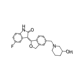 O=C1Nc2ccc(F)cc2C1=C1OCc2cc(CN3CCCC(O)C3)ccc21